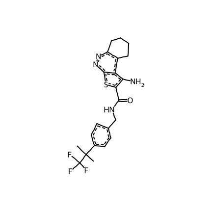 CC(C)(c1ccc(CNC(=O)c2sc3nnc4c(c3c2N)CCCC4)cc1)C(F)(F)F